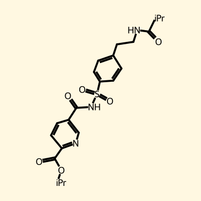 CC(C)OC(=O)c1ccc(C(=O)NS(=O)(=O)c2ccc(CCNC(=O)C(C)C)cc2)cn1